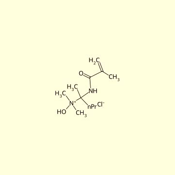 C=C(C)C(=O)NC(C)(CCC)[N+](C)(C)O.[Cl-]